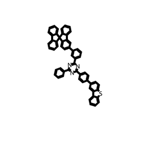 c1ccc(-c2nc(-c3ccc(-c4ccc5sc6ccccc6c5c4)cc3)nc(-c3cccc(-c4ccc5c(c4)-c4ccccc4C54c5ccccc5-c5ccccc54)c3)n2)cc1